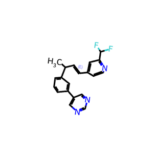 CC(/C=C/c1ccnc(C(F)F)c1)c1cccc(-c2cncnc2)c1